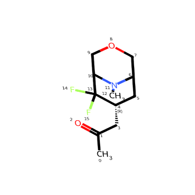 CC(=O)C[C@H]1CC2COCC(N2C)C1(F)F